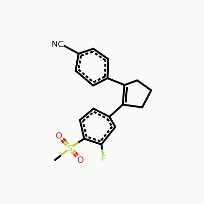 CS(=O)(=O)c1ccc(C2=C(c3ccc(C#N)cc3)CCC2)cc1F